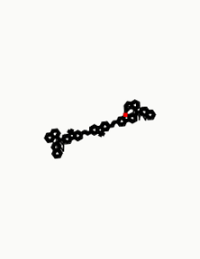 CC1(C)c2cc(/C=C/c3ccc4c(c3)C(C)(C)c3cc(N(c5ccc6ccccc6n5)c5cccc6ccccc56)ccc3-4)ccc2-c2ccc(/C=C/c3ccc4c(c3)C3(C)c5ccc6cccc(c6c5)N(c5ccc6ccccc6n5)c5ccc-4c3c5)cc21